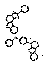 c1ccc(-c2nc3c(ccc4oc5cc(N(c6ccccc6)c6ccc(-c7cccc8c7oc7ccccc78)cc6)ccc5c43)s2)cc1